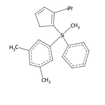 Cc1cc(C)cc([Si](C)(C2=C(C(C)C)C=CC2)c2ccccc2)c1